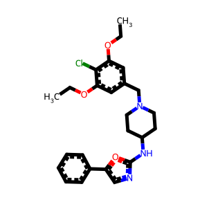 CCOc1cc(CN2CCC(Nc3ncc(-c4ccccc4)o3)CC2)cc(OCC)c1Cl